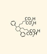 O=C(O)C(CCCC1C(c2ccccc2)CCC(c2ccccc2)C1CCCC(C(=O)O)C(=O)O)C(=O)O